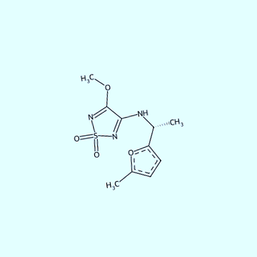 COC1=NS(=O)(=O)N=C1N[C@H](C)c1ccc(C)o1